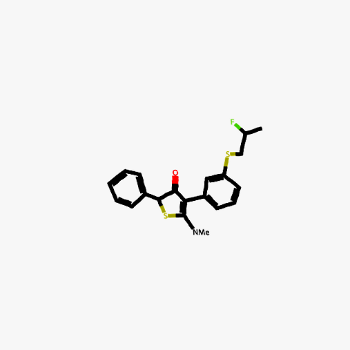 CNC1=C(c2cccc(SCC(C)F)c2)C(=O)C(c2ccccc2)S1